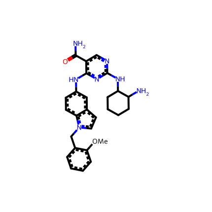 COc1ccccc1Cn1ccc2cc(Nc3nc(NC4CCCCC4N)ncc3C(N)=O)ccc21